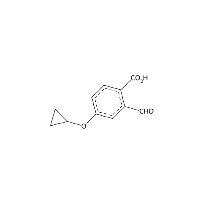 O=Cc1cc(OC2CC2)ccc1C(=O)O